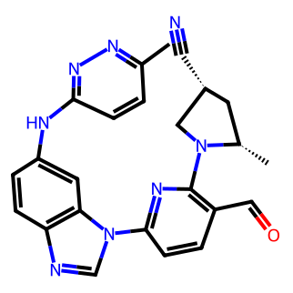 Cc1ccc(Nc2ccc3ncn(-c4ccc(C=O)c(N5C[C@H](C#N)C[C@@H]5C)n4)c3c2)nn1